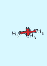 CCCCCCCCCCCCc1c2c(=O)c3cc(Br)ccc3c2c(CCCCCCCCCCCC)c2c(=O)c3cc(C)ccc3c12